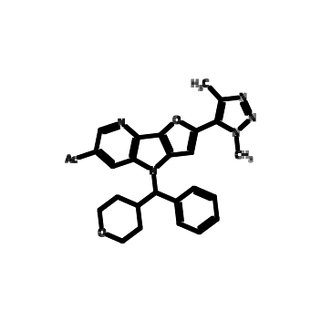 CC(=O)c1cnc2c3oc(-c4c(C)nnn4C)cc3n(C(c3ccccc3)C3CCOCC3)c2c1